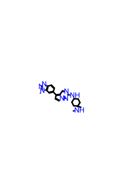 CNC1(C)CCC(Nc2ncc3c(-c4ccc5nnn(C)c5c4)ccn3n2)CC1